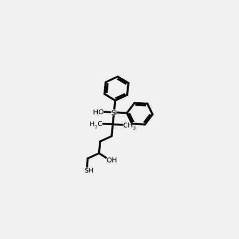 CC(C)(CCC(O)CS)[Si](O)(c1ccccc1)c1ccccc1